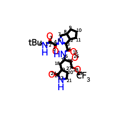 CC(C)(C)NC(=O)C(=O)N1CC2CCCC2C1C(=O)NC(CC1CCNC1=O)C(=O)COC(F)(F)F